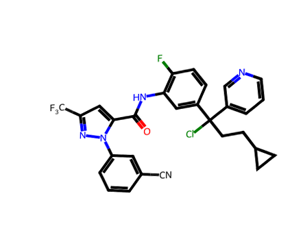 N#Cc1cccc(-n2nc(C(F)(F)F)cc2C(=O)Nc2cc(C(Cl)(CCC3CC3)c3cccnc3)ccc2F)c1